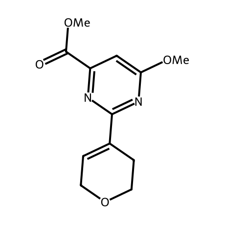 COC(=O)c1cc(OC)nc(C2=CCOCC2)n1